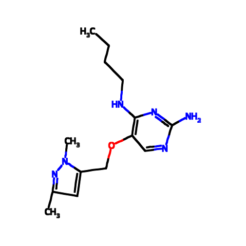 CCCCNc1nc(N)ncc1OCc1cc(C)nn1C